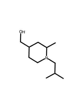 CC(C)CN1CCC(CO)CC1C